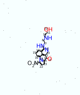 O=c1c2cnc(NCCNCCO)c3cccc(c32)n2c([N+](=O)[O-])ccc12